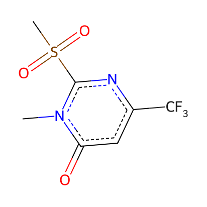 Cn1c(S(C)(=O)=O)nc(C(F)(F)F)cc1=O